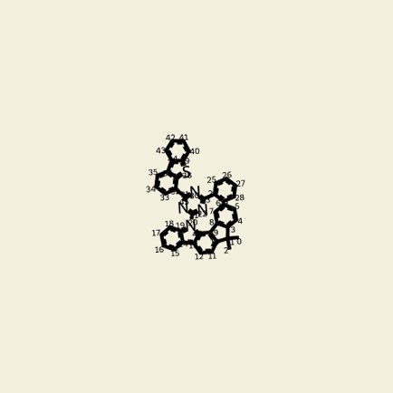 CC1(C)c2ccccc2-c2c1ccc1c3ccccc3n(-c3nc(-c4ccccc4)nc(-c4cccc5c4sc4ccccc45)n3)c21